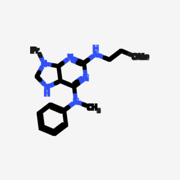 COCCNC1=NC2C(NCN2C(C)C)C(N(C)C2=CC=C=C=C2)=N1